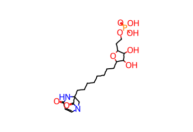 O=C1C=CN2CC(CCCCCCCCC3OC(CCOP(=O)(O)O)C(O)C3O)(N1)C2=O